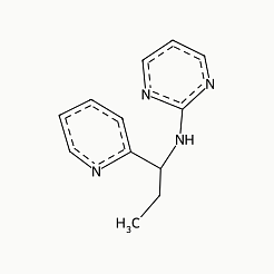 CCC(Nc1ncccn1)c1ccccn1